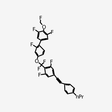 CCCc1ccc(C#Cc2cc(F)c(C(F)(F)Oc3ccc(-c4cc(F)c(OCF)c(F)c4)c(F)c3)c(F)c2)cc1